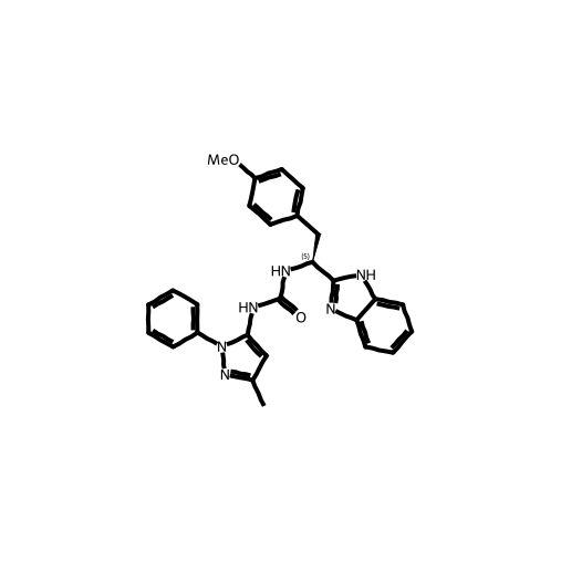 COc1ccc(C[C@H](NC(=O)Nc2cc(C)nn2-c2ccccc2)c2nc3ccccc3[nH]2)cc1